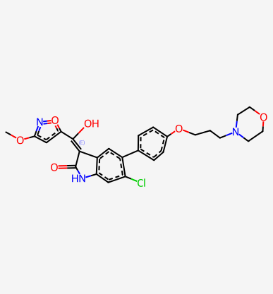 COc1cc(/C(O)=C2\C(=O)Nc3cc(Cl)c(-c4ccc(OCCCN5CCOCC5)cc4)cc32)on1